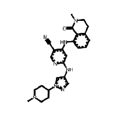 CN1CCC(n2cc(Nc3cc(Nc4cccc5c4C(=O)N(C)CC5)c(C#N)cn3)cn2)CC1